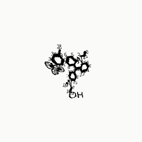 C=CC[n+]1c2ccccc2c(-c2ccc(N(C)CCO)cc2)c2ccccc21.Cc1ccc(S(=O)(=O)[O-])cc1